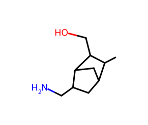 CC1C2CC(CN)C(C2)C1CO